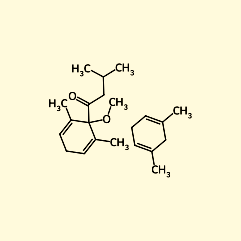 CC1=CCC=C(C)C1.COC1(C(=O)CC(C)C)C(C)=CCC=C1C